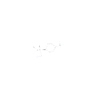 Fc1cc(C(F)(F)F)ccc1[C@@]12CNC[C@@H]1C2